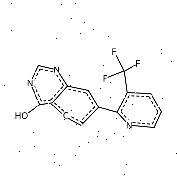 Oc1ncnc2cc(-c3ncccc3C(F)(F)F)ccc12